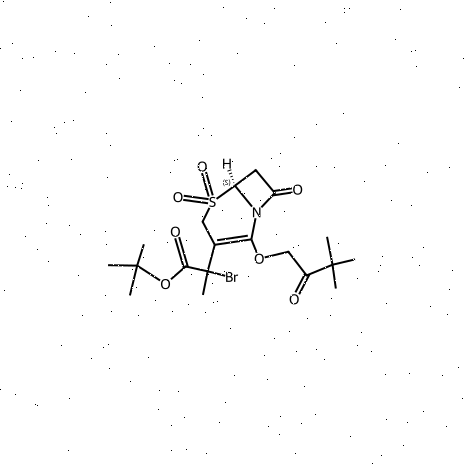 CC(C)(C)OC(=O)C(C)(Br)C1=C(OCC(=O)C(C)(C)C)N2C(=O)C[C@@H]2S(=O)(=O)C1